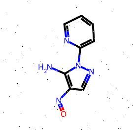 Nc1c(N=O)cnn1-c1ccccn1